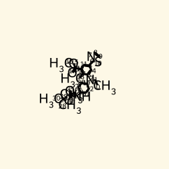 CCN(c1cc(-c2nccs2)cc(C(=O)OC)c1C)[C@H]1CC[C@H](NC(=O)OC(C)(C)C)CC1